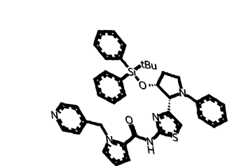 CC(C)(C)[Si](O[C@@H]1CCN(c2ccccc2)[C@@H]1c1csc(NC(=O)c2cccn2Cc2ccncc2)n1)(c1ccccc1)c1ccccc1